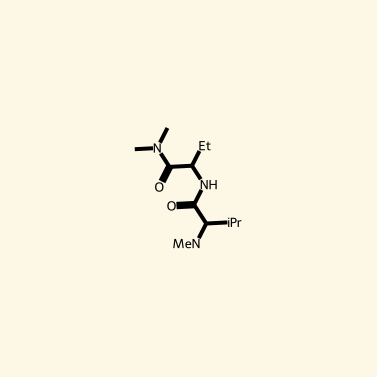 CCC(NC(=O)C(NC)C(C)C)C(=O)N(C)C